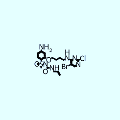 C=CCNC(=O)N=S(C)(=O)c1ccc(N)cc1OCCCCNc1nc(Cl)ncc1Br